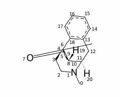 CN1CC[C@]23CC(=O)CC[C@H]2[C@H]1Cc1ccccc13